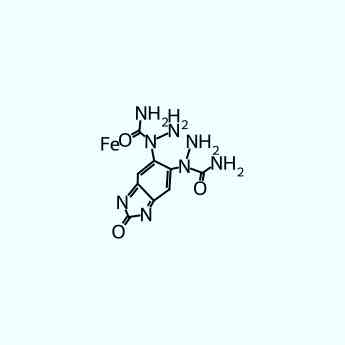 NC(=O)N(N)c1cc2c(cc1N(N)C(N)=O)=NC(=O)N=2.[Fe]